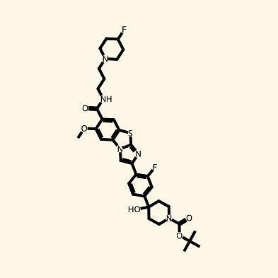 COc1cc2c(cc1C(=O)NCCCN1CCC(F)CC1)sc1nc(-c3ccc(C4(O)CCN(C(=O)OC(C)(C)C)CC4)cc3F)cn12